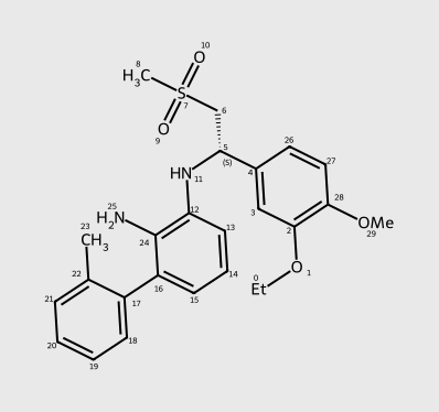 CCOc1cc([C@@H](CS(C)(=O)=O)Nc2cccc(-c3ccccc3C)c2N)ccc1OC